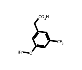 CC(C)Oc1cc(CC(=O)O)cc(C(F)(F)F)c1